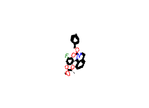 COC(=O)[C@@H](C)Oc1ccc(F)cc1[C@@H]1c2ccccc2CCN1C(=O)OCc1ccccc1